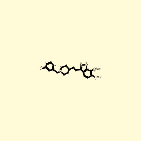 COc1ccc2c(CCC3CCN(Cc4cccc(Cl)c4)CC3)noc2c1OC